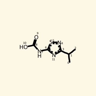 CC(C)c1nsc(NC(=O)O)n1